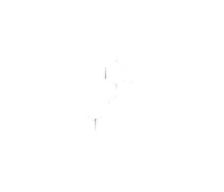 C=C(C)COCc1ccccc1I